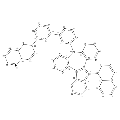 C1=CC2C=CCC(n3c4c(c5ccccc53)-c3ccccc3N(c3cccc(-c5cccc(C6C=CC7N=CC=CC7C6)c5)c3)C3=C4C=CCC3)C2C=C1